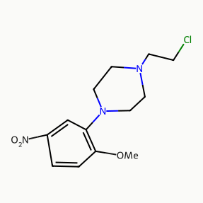 COc1ccc([N+](=O)[O-])cc1N1CCN(CCCl)CC1